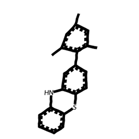 Cc1cc(C)c(-c2ccc3c(c2)Nc2ccccc2S3)c(C)c1